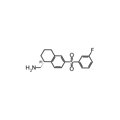 NC[C@@H]1CCCc2cc(S(=O)(=O)c3cccc(F)c3)ccc21